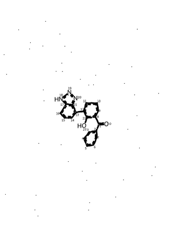 O=C(c1ccccc1)c1cccc(-c2cccc3[nH]nnc23)c1O